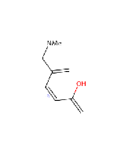 C=C(O)/C=C\C(=C)CNC